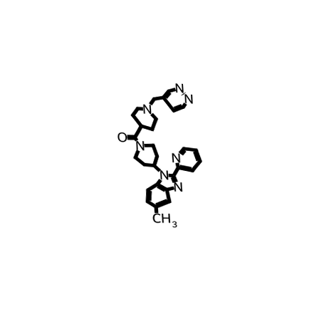 Cc1ccc2c(c1)nc(-c1ccccn1)n2C1CCN(C(=O)C2CCN(Cc3ccnnc3)CC2)CC1